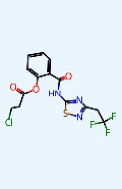 O=C(CCCl)Oc1ccccc1C(=O)Nc1nc(CC(F)(F)F)ns1